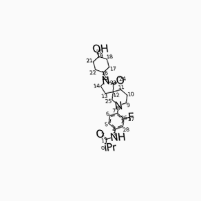 CC(C)C(=O)Nc1ccc(N2CCCC3(CCN(C4CCC(O)CC4)C3=O)C2)c(F)c1